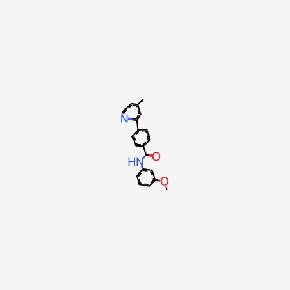 COc1cccc(NC(=O)c2ccc(-c3cc(C)ccn3)cc2)c1